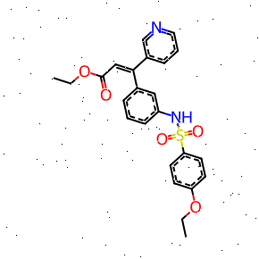 CCOC(=O)C=C(c1cccnc1)c1cccc(NS(=O)(=O)c2ccc(OCC)cc2)c1